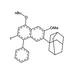 CCCCOc1cc(I)c(-c2ccccc2)c2cc(C34CC5CC(CC(C5)C3)C4)c(OC)cc12